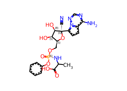 CC(N[P@](=O)(OC[C@@H]1O[C@](C#N)(c2ccc3c(N)ncnn23)[C@H](O)[C@@H]1O)Oc1ccccc1)C(=O)O